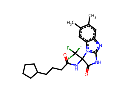 Cc1cc2nc3n(c2cc1C)C(NC(=O)CCCC1CCCC1)(C(F)(F)F)C(=O)N3